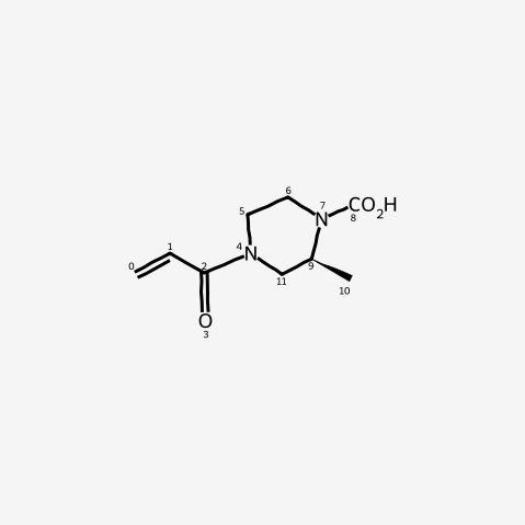 C=CC(=O)N1CCN(C(=O)O)[C@@H](C)C1